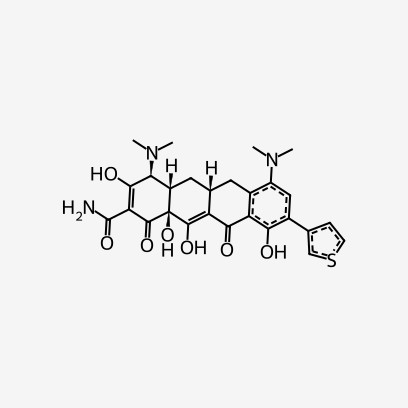 CN(C)c1cc(-c2ccsc2)c(O)c2c1C[C@H]1C[C@H]3[C@H](N(C)C)C(O)=C(C(N)=O)C(=O)[C@@]3(O)C(O)=C1C2=O